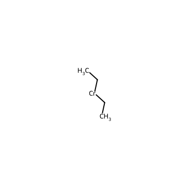 C[CH2][Cr][CH2]C